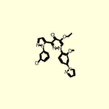 CCOc1cn(-c2ccc(-n3cccn3)cc2OC)nc(-c2ccnn2-c2cccc(Cl)c2)c1=O